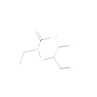 CCN(OC(CO)CO)C(=O)O